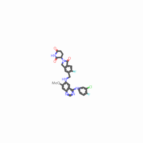 COc1cc2ncnc(Nc3ccc(F)c(Cl)c3)c2cc1NCc1cc2c(cc1F)C(=O)N(C1CCC(=O)NC1=O)C2